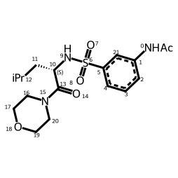 CC(=O)Nc1cccc(S(=O)(=O)N[C@@H](CC(C)C)C(=O)N2CCOCC2)c1